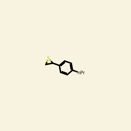 CCCc1ccc(C2CS2)cc1